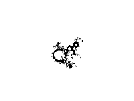 COc1ccc2nc(C(C)C)c3c(c2c1)CC[C@]1(C[C@H]2C(=O)N[C@]4(C(=O)NS(=O)(=O)C5(C)CC5)C[C@H]4/C=C\CCCCC[C@H](NC(=O)O)C(=O)N2C1)O3